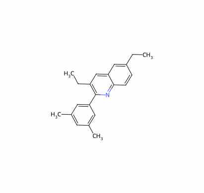 CCc1ccc2nc(-c3cc(C)cc(C)c3)c(CC)cc2c1